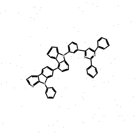 c1ccc(-c2cc(-c3cccc(-n4c5ccccc5c5c(-c6ccc7c8cccnc8n(-c8ccccc8)c7c6)cccc54)c3)nc(-c3ccccc3)n2)cc1